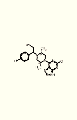 CC(C)CC(c1ccc(Cl)cc1)N1C[C@H](C)N(c2nc(Cl)nc3[nH]cnc23)C[C@H]1C